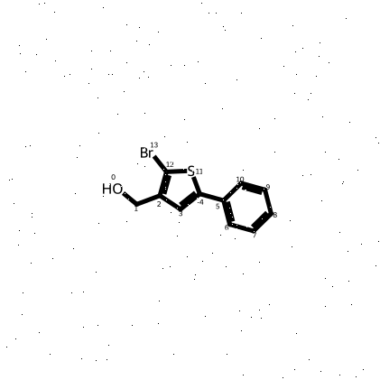 OCc1cc(-c2ccccc2)sc1Br